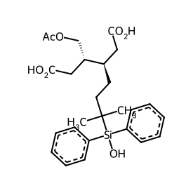 CC(=O)OC[C@@H](CC(=O)O)[C@H](CCC(C)(C)[Si](O)(c1ccccc1)c1ccccc1)CC(=O)O